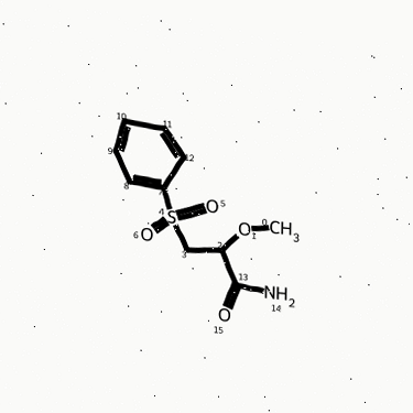 COC(CS(=O)(=O)c1ccccc1)C(N)=O